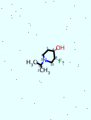 CC(C)N1CC[C@H](O)[C@H](F)C1